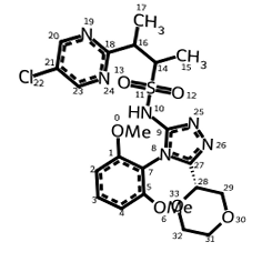 COc1cccc(OC)c1-n1c(NS(=O)(=O)C(C)C(C)c2ncc(Cl)cn2)nnc1[C@@H]1COCCO1